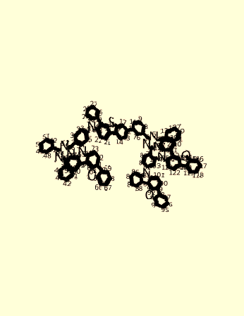 c1ccc(-c2nc(-c3cccc(-c4ccc5c(c4)sc4c5ccc5c4c4ccccc4n5-c4ccc(-c5nc(-c6ccccc6)nc(-c6ccccc6)n5)c(-n5c6ccccc6c6c7oc8ccccc8c7ccc65)c4)c3)nc(-c3ccc(-n4c5ccccc5c5c6oc7ccccc7c6ccc54)cc3-n3c4ccccc4c4c5oc6ccccc6c5ccc43)n2)cc1